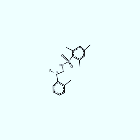 Cc1cc(C)c(S(=O)(=O)NC[C@@H](F)c2ccccc2C)c(C)c1